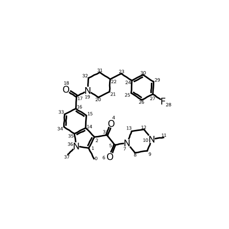 Cc1c(C(=O)C(=O)N2CCN(C)CC2)c2cc(C(=O)N3CCC(Cc4ccc(F)cc4)CC3)ccc2n1C